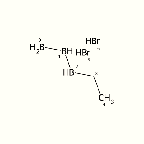 BBBCC.Br.Br